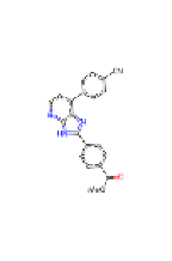 COC(=O)c1ccc(-c2nc3c(-c4ccc(C#N)cc4)ccnc3[nH]2)cc1